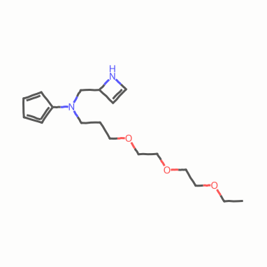 CCOCCOCCOCCCN(CC1C=CN1)C1=C=CC=C1